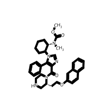 COC(=O)N(C)[C@H]1CCCCC1n1cnc(C(=O)N2CCNC[C@H]2CCOc2ccc3ccccc3c2)c1-c1ccccc1